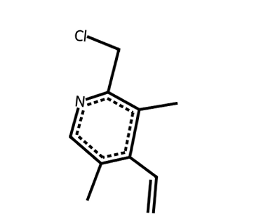 C=Cc1c(C)cnc(CCl)c1C